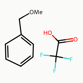 COCc1ccccc1.O=C(O)C(F)(F)F